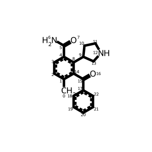 Cc1ccc(C(N)=O)c(C2CCNC2)c1C(=O)c1ccccc1